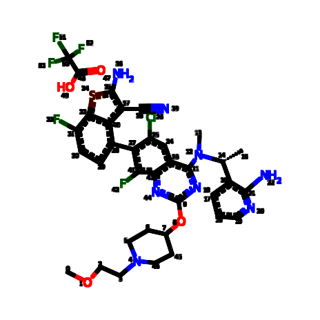 COCCN1CCC(Oc2nc(N(C)[C@H](C)c3cccnc3N)c3cc(Cl)c(-c4ccc(F)c5sc(N)c(C#N)c45)c(F)c3n2)CC1.O=C(O)C(F)(F)F